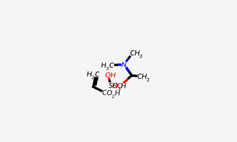 C=CC(=O)O.CC(O)N(C)C.O=S(=O)(O)O